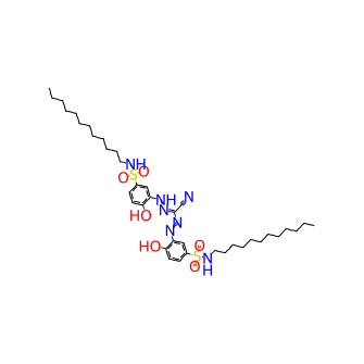 CCCCCCCCCCCCNS(=O)(=O)c1ccc(O)c(N=NC(C#N)=NNc2cc(S(=O)(=O)NCCCCCCCCCCCC)ccc2O)c1